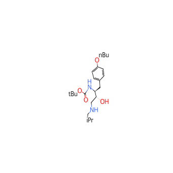 CCCCOc1ccc(C[C@H](NC(=O)OC(C)(C)C)[C@H](O)CNCC(C)C)cc1